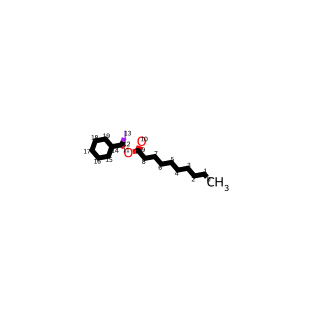 CCCCCCCCCC(=O)OC(I)C1CCCCC1